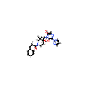 C[C@H](CC1CCCCC1)C(=O)N1CCC(O)(Cn2cc(-n3cccn3)ncc2=O)C(C)(C)C1